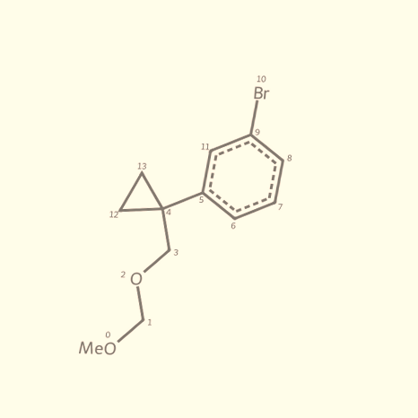 COCOCC1(c2cccc(Br)c2)CC1